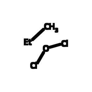 CCC.ClOCl